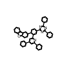 c1ccc(-c2cc(-c3ccccc3)nc(-c3cc(-c4nc(-c5ccccc5)nc(-c5ccccc5)n4)ccc3-c3ccc4oc5ccccc5c4c3)c2)cc1